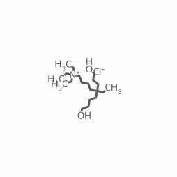 CCC(CCCO)(CCCCO)CCCC[N+](CC)(CC)CC.[Cl-]